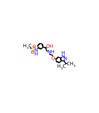 CCS(=O)(=O)Nc1cccc([C@@H](O)CNCCOc2ccc3c(C(C)C)n[nH]c3c2)c1